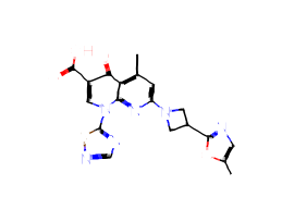 Cc1cnc(C2CN(c3cc(C)c4c(=O)c(C(=O)O)cn(-c5ncns5)c4n3)C2)o1